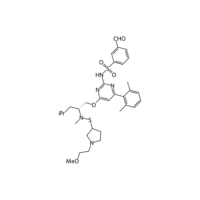 COCCN1CCC(SN(C)[C@@H](COc2cc(-c3c(C)cccc3C)nc(NS(=O)(=O)c3cccc(C=O)c3)n2)CC(C)C)C1